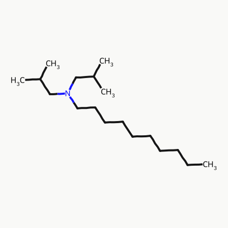 CCCCCCCCCCN(CC(C)C)CC(C)C